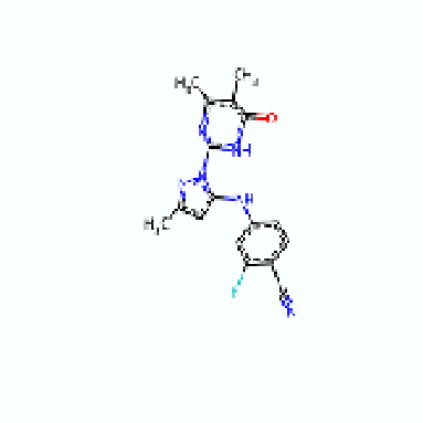 Cc1cc(Nc2ccc(C#N)c(F)c2)n(-c2nc(C)c(C)c(=O)[nH]2)n1